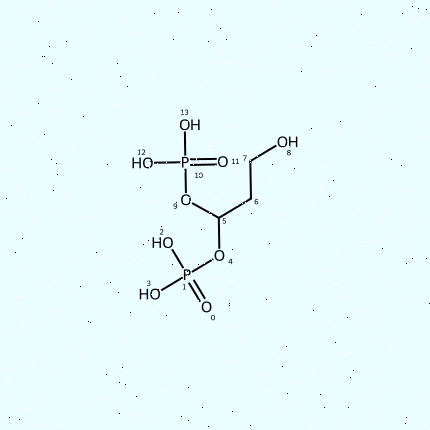 O=P(O)(O)OC(CCO)OP(=O)(O)O